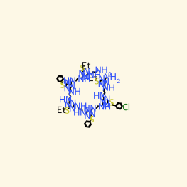 CCSc1nc(N)nc(NCCNc2nc(NCCNc3nc(NCCNc4nc(NCCNc5nc(NCCNc6nc(NCCN)nc(SCC)n6)nc(Sc6ccccc6)n5)nc(SCC)n4)nc(Sc4ccccc4)n3)nc(SCc3ccc(Cl)cc3)n2)n1